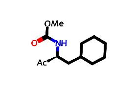 COC(=O)N[C@@H](CC1CCCCC1)C(C)=O